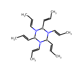 CC=CB1N(C=CC)B(C=CC)N(C=CC)B(C=CC)N1C=CC